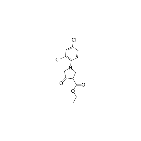 CCOC(=O)C1CN(c2ccc(Cl)cc2Cl)CC1=O